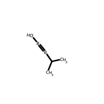 CC(C)B=BO